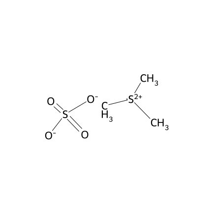 C[S+2](C)C.O=S(=O)([O-])[O-]